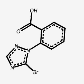 O=C(O)c1ccccc1-n1ncnc1Br